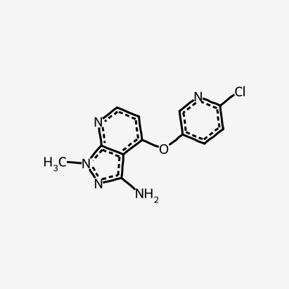 Cn1nc(N)c2c(Oc3ccc(Cl)nc3)ccnc21